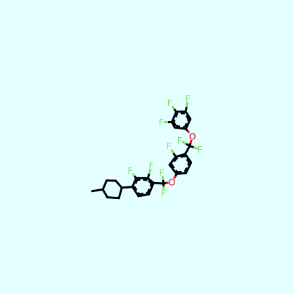 CC1CCC(c2ccc(C(F)(F)Oc3ccc(C(F)(F)Oc4cc(F)c(F)c(F)c4)c(F)c3)c(F)c2F)CC1